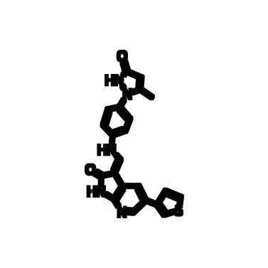 Cc1cc(=O)[nH]n1-c1ccc(NC=C2C(=O)Nc3ncc(-c4ccsc4)cc32)cc1